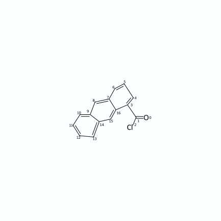 O=C(Cl)c1cccc2cc3ccccc3cc12